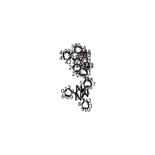 c1ccc(-c2nc(-c3ccccc3)nc(-c3cccc(-c4ccc5c6c(ccc5c4)-c4c(c5ccccc5c5ccccc45)C64c5ccccc5-c5ccccc54)c3)n2)cc1